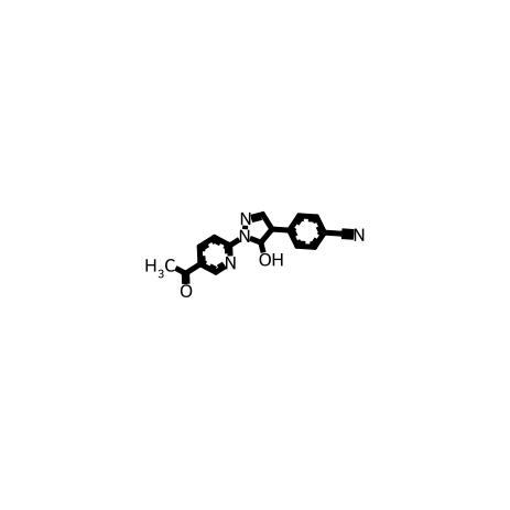 CC(=O)c1ccc(N2N=CC(c3ccc(C#N)cc3)C2O)nc1